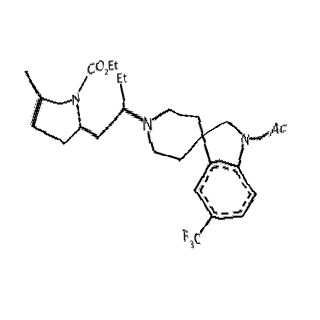 CCOC(=O)N1C(C)CCC1CC(CC)N1CCC2(CC1)CN(C(C)=O)c1ccc(C(F)(F)F)cc12